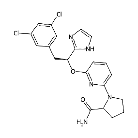 NC(=O)C1CCCN1c1cccc(O[C@@H](Cc2cc(Cl)cc(Cl)c2)c2ncc[nH]2)n1